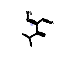 C=C(/C(C=N)=C/N)C(C)C